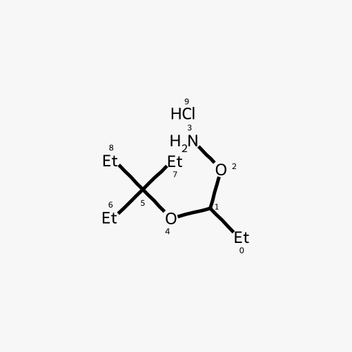 CCC(ON)OC(CC)(CC)CC.Cl